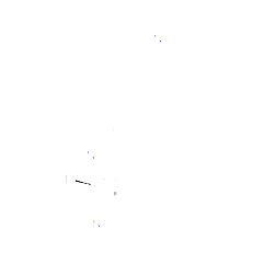 O=C(N[C@H]1CN2CCC1CC2)c1ccc(-c2cnc(Cl)o2)s1